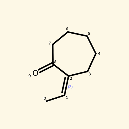 C/C=C1/CCCCCC1=O